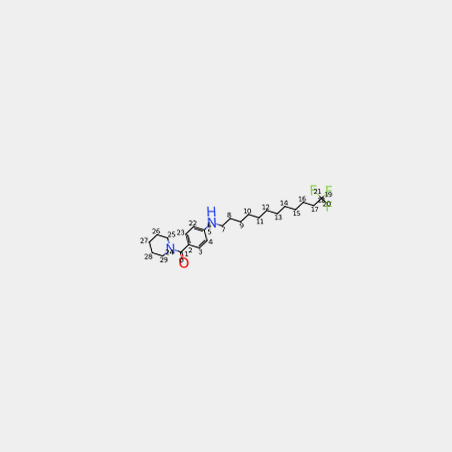 O=C(c1ccc(NCCCCCCCCCCCC(F)(F)F)cc1)N1CCCCC1